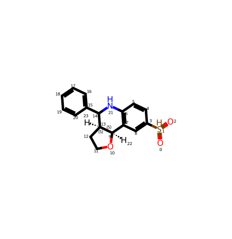 O=[SH](=O)c1ccc2c(c1)[C@H]1OCC[C@H]1C(c1ccccc1)N2